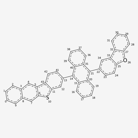 c1ccc2cc3c(cc2c1)sc1cc(-c2c4ccccc4c(-c4ccc5oc6ccccc6c5c4)c4ccccc24)ccc13